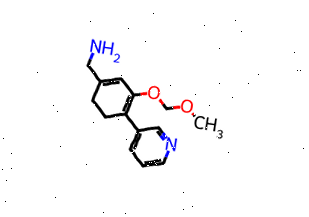 COCOC1=C(c2cccnc2)CCC(CN)=C1